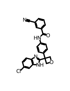 N#Cc1cccc(C(=O)Nc2ccc(C3(c4nc5ccc(Cl)cc5[nH]4)COC3)cc2)c1